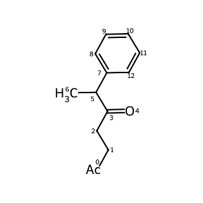 CC(=O)CCC(=O)C(C)c1ccccc1